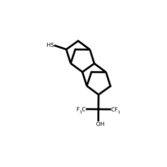 OC(C1CC2CC1C1C3CC(CC3S)C21)(C(F)(F)F)C(F)(F)F